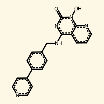 O=c1nc(NCc2ccc(-c3ccncc3)cc2)c2cccnc2n1O